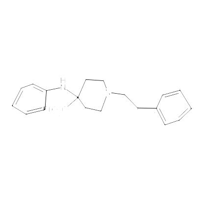 CCOC(=O)C1(Nc2ccccc2)CCN(CCc2ccccc2)CC1